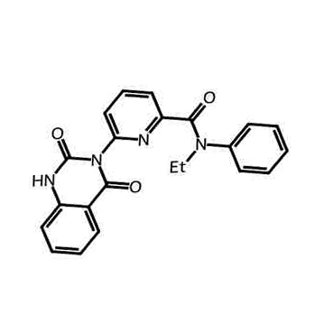 CCN(C(=O)c1cccc(-n2c(=O)[nH]c3ccccc3c2=O)n1)c1ccccc1